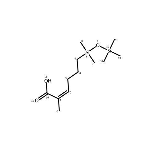 CC(=CCCC[Si](C)(C)O[Si](C)(C)C)C(=O)O